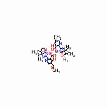 CCc1cnc(C2=NC(C)(C(C)C)C(=O)N2)c(C(=O)O)c1.COCc1cnc(C2=NC(C)(C(C)C)C(=O)N2)c(C(=O)O)c1